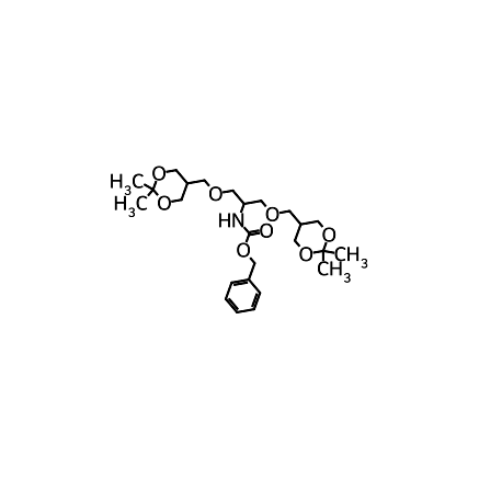 CC1(C)OCC(COCC(COCC2COC(C)(C)OC2)NC(=O)OCc2ccccc2)CO1